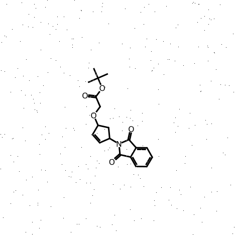 CC(C)(C)OC(=O)COC1C=CC(N2C(=O)c3ccccc3C2=O)C1